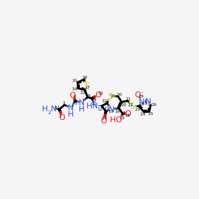 NC(=O)CNC(=O)NC(C(=O)N[C@H]1C(=O)N2C(C(=O)O)=C(CSc3cccn[n+]3[O-])CSC12)c1cccs1